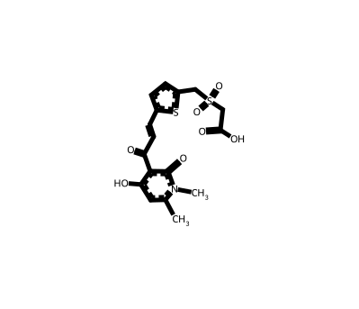 Cc1cc(O)c(C(=O)/C=C/c2ccc(CS(=O)(=O)CC(=O)O)s2)c(=O)n1C